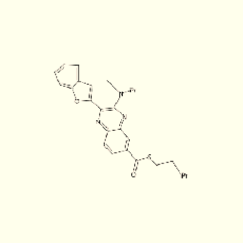 CC(C)CCSC(=O)c1ccc2nc(-c3cc4ccccc4o3)c(N(C)C(C)C)nc2c1